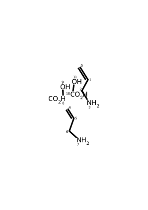 C=CCN.C=CCN.O=C(O)O.O=C(O)O